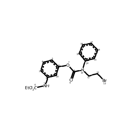 CCOC(=O)Nc1cccc(OC(=O)N(CCBr)c2ccccc2)c1